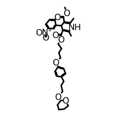 COC(=O)C1=C(C)NC(C)=C(C(=O)OCCCCOc2ccc(CCCOC3CCCCO3)cc2)C1c1cccc([N+](=O)[O-])c1